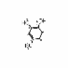 CC1=CC(O)=C(O)CC1